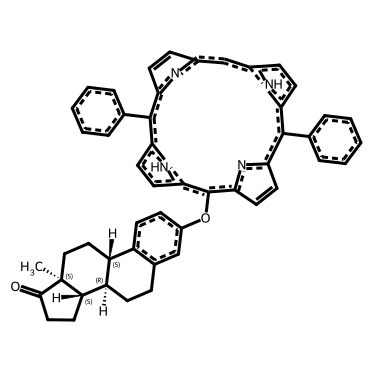 C[C@]12CC[C@@H]3c4ccc(Oc5c6nc(c(-c7ccccc7)c7ccc(cc8nc(c(-c9ccccc9)c9ccc5[nH]9)C=C8)[nH]7)C=C6)cc4CC[C@H]3[C@@H]1CCC2=O